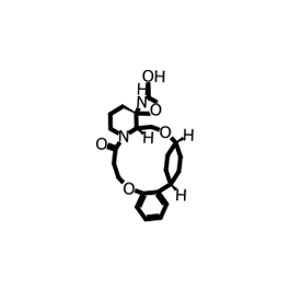 O=C1CCOc2ccccc2[C@H]2CC[C@H](CC2)OC[C@@H]2N1CCC[C@@]21COCC(O)N1